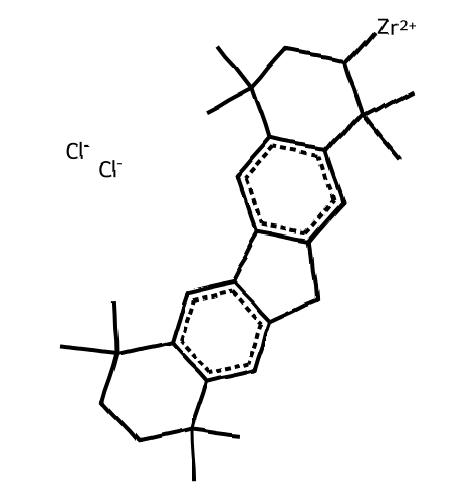 CC1(C)CCC(C)(C)c2cc3c(cc21)Cc1cc2c(cc1-3)C(C)(C)C[CH]([Zr+2])C2(C)C.[Cl-].[Cl-]